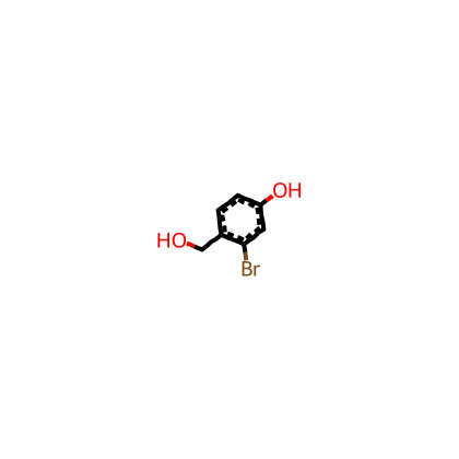 OCc1ccc(O)cc1Br